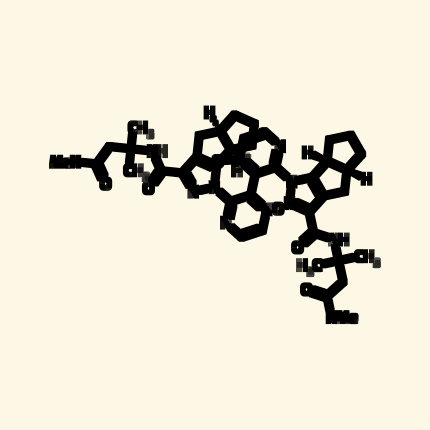 CNC(=O)CC(C)(C)NC(=O)c1nn(-c2ncc[n+]([O-])c2-c2c(-n3nc(C(=O)NC(C)(C)CC(=O)NC)c4c3[C@@H]3CCC[C@@H]3C4)ncc[n+]2[O-])c2c1C[C@H]1CCC[C@@H]21